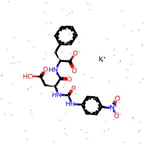 O=C(O)C[C@H](NC(=O)Nc1ccc([N+](=O)[O-])cc1)C(=O)N[C@@H](Cc1ccccc1)C(=O)[O-].[K+]